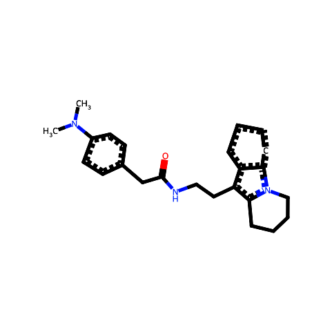 CN(C)c1ccc(CC(=O)NCCc2c3n(c4ccccc24)CCCC3)cc1